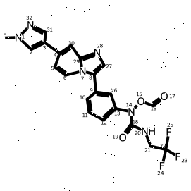 Cn1cc(-c2ccn3c(-c4cccc(N(OC=O)C(=O)NCC(F)(F)F)c4)cnc3c2)cn1